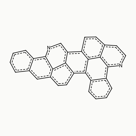 c1ccc2c(c1)cc1ccc3c4c(cnc2c14)c1ccc2ccnc4c5ccccc5c3c1c24